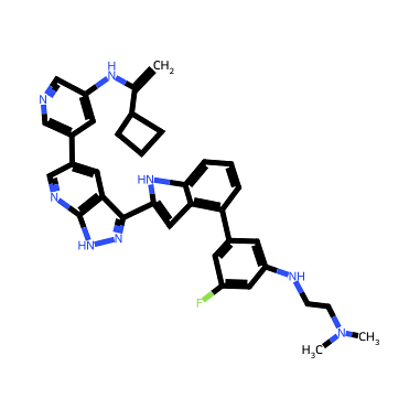 C=C(Nc1cncc(-c2cnc3[nH]nc(-c4cc5c(-c6cc(F)cc(NCCN(C)C)c6)cccc5[nH]4)c3c2)c1)C1CCC1